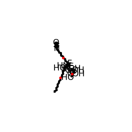 CCCCCCCCCCCCCCC[C@@H](O)[C@H](COC1OC(CO)C(O)C(O)C1O)NC(CCCCCCCCCCN1CC2(COC2)C1)C(F)(F)F